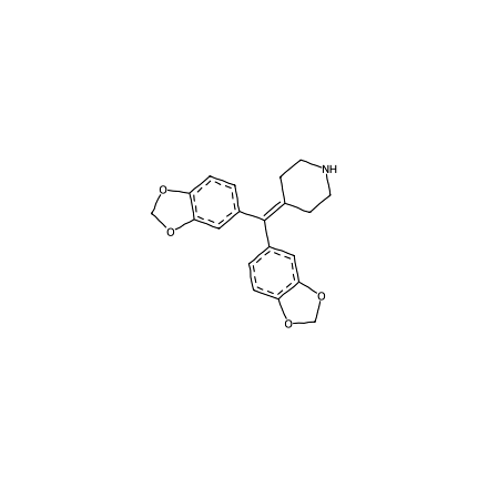 c1cc2c(cc1C(=C1CCNCC1)c1ccc3c(c1)OCO3)OCO2